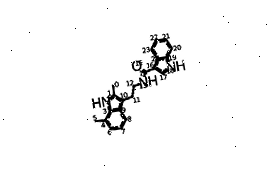 Cc1[nH]c2c(C)cccc2c1CCNC(=O)c1c[nH]c2ccccc12